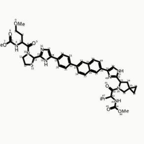 COCCC(NC(=O)OC)C(=O)N1CCSC1c1ncc(-c2ccc(-c3ccc4cc(-c5c[nH]c(C6CC7(CC7)CN6C(=O)C(NC(=O)OC)C(C)C)n5)ccc4c3)cc2)[nH]1